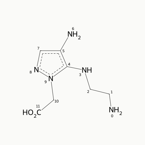 NCCNc1c(N)cnn1CC(=O)O